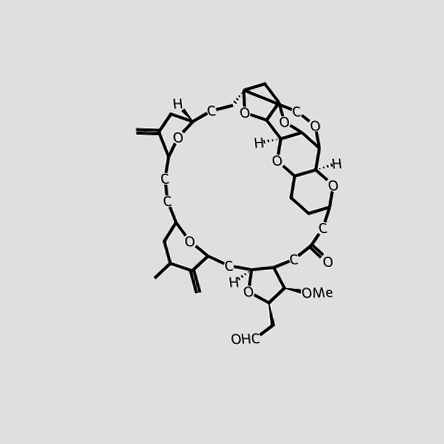 C=C1C[C@@H]2CC[C@@]34COC5C6OC(C3)C(O4)[C@@H]6OC3CCC(CC(=O)CC4[C@H](CC6OC(CCC1O2)CC(C)C6=C)O[C@H](CC=O)[C@@H]4OC)O[C@@H]35